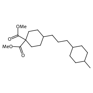 COC(=O)C1(C(=O)OC)CCC(CCCC2CCC(C)CC2)CC1